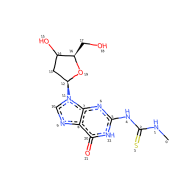 CNC(=S)Nc1nc2c(ncn2[C@H]2CC(O)[C@@H](CO)O2)c(=O)[nH]1